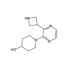 OC1CCN(c2nccnc2C2CNC2)CC1